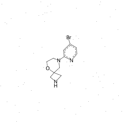 Brc1ccnc(N2CCOC3(CNC3)C2)c1